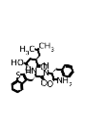 CC(C)C[C@H](CC(=O)O)C(=O)N[C@@H](Cc1csc2ccccc12)C(=O)N[C@H](Cc1ccccc1)C(N)=O